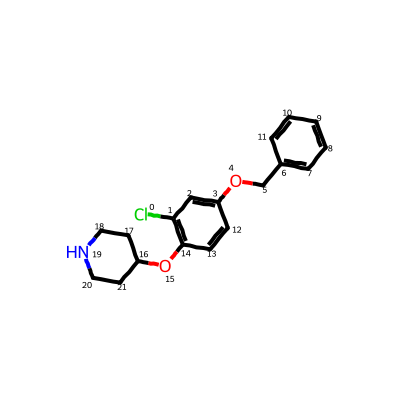 Clc1cc(OCc2ccccc2)ccc1OC1CCNCC1